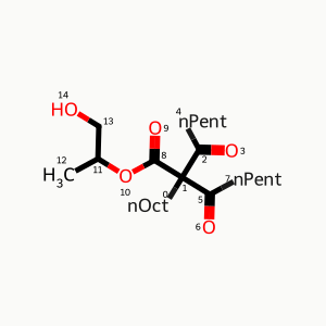 CCCCCCCCC(C(=O)CCCCC)(C(=O)CCCCC)C(=O)OC(C)CO